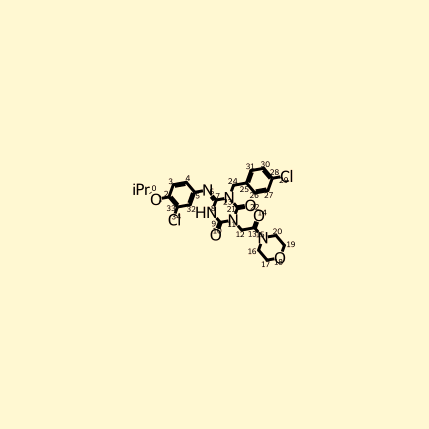 CC(C)Oc1ccc(/N=c2\[nH]c(=O)n(CC(=O)N3CCOCC3)c(=O)n2Cc2ccc(Cl)cc2)cc1Cl